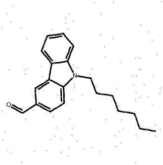 CCCCCCCn1c2ccccc2c2cc(C=O)ccc21